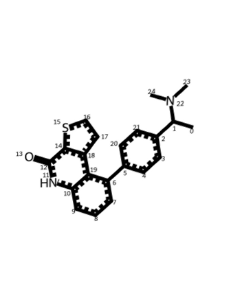 CC(c1ccc(-c2cccc3[nH]c(=O)c4sccc4c23)cc1)N(C)C